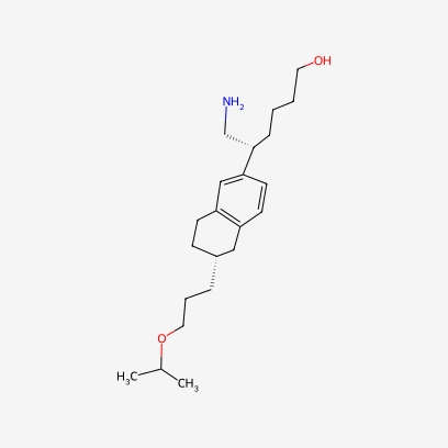 CC(C)OCCC[C@@H]1CCc2cc([C@H](CN)CCCCO)ccc2C1